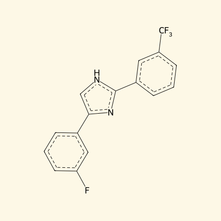 Fc1cccc(-c2c[nH]c(-c3cccc(C(F)(F)F)c3)n2)c1